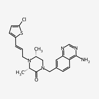 C[C@@H]1CN(Cc2ccc3c(N)ncnc3c2)C(=O)[C@H](C)N1CC=Cc1ccc(Cl)s1